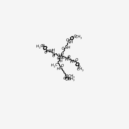 COc1ccc(C(=O)NCCCNC(=O)CCOCC(COCCC(=O)NCCCNC(=O)c2ccc(OC)cc2)(COCCC(=O)NCCCNC(=O)c2ccc(OC)cc2)NC(=O)CCC(C)CCC(=O)NCCCCCCOP(=O)(O)C(C)C)cc1